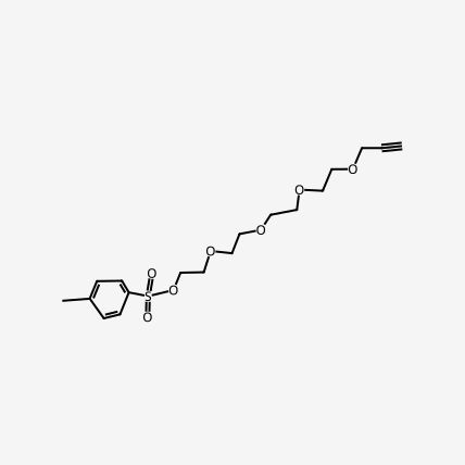 C#CCOCCOCCOCCOCCOS(=O)(=O)c1ccc(C)cc1